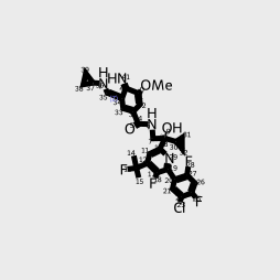 COC1=CC(C(=O)NC[C@](O)(c2cc(C(C)(C)F)c(F)c(-c3cc(Cl)c(F)cc3F)n2)C2CC2)=C/C(=C/NC2CC2)C1=N